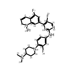 CC(C)N1CC=Cc2c(F)cc(-c3nc(Nc4ccc(N5CCC(N(C)C)CC5)c(F)c4)ncc3F)cc21